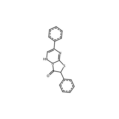 O=C1C(c2ccccc2)SC2=NC(c3ccccc3)=CNN12